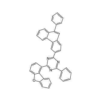 c1ccc(-c2nc(-c3ccc4cc(-c5ccccc5)c5ccccc5c4c3)nc(-c3cccc4oc5ccccc5c34)n2)cc1